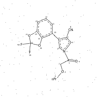 CCCOCC(=O)n1cc(C#N)c(-c2cccc3c2OC(F)(F)O3)c1